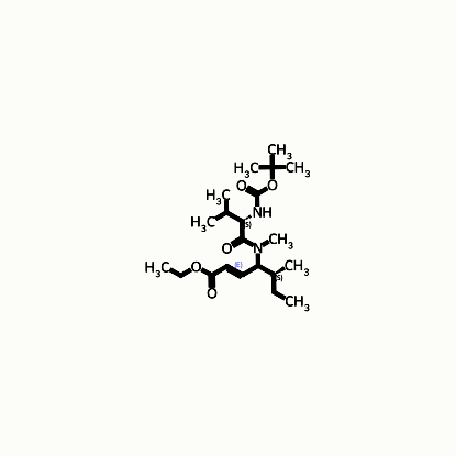 CCOC(=O)/C=C/C([C@@H](C)CC)N(C)C(=O)[C@@H](NC(=O)OC(C)(C)C)C(C)C